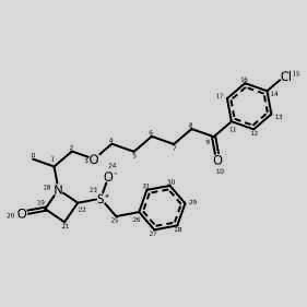 CC(COCCCCCC(=O)c1ccc(Cl)cc1)N1C(=O)CC1[S+]([O-])Cc1ccccc1